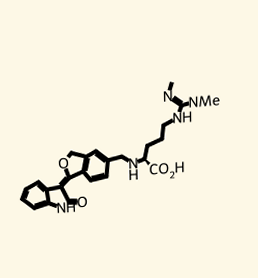 CN=C(NC)NCCC[C@H](NCc1ccc2c(c1)COC2=C1C(=O)Nc2ccccc21)C(=O)O